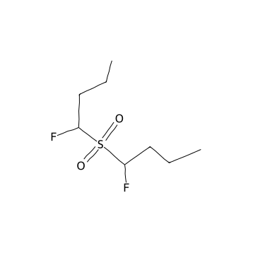 CCCC(F)S(=O)(=O)C(F)CCC